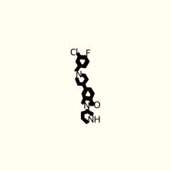 O=C1c2ccc(C3CCN(Cc4ccc(F)c(Cl)c4)CC3)cc2CN1C1CCCNC1